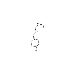 CC[CH]CN1CCNCC1